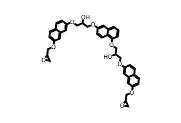 OC(COc1ccc2ccc(OCC3CO3)cc2c1)COc1ccc2c(OCC(O)COc3ccc4ccc(OCC5CO5)cc4c3)cccc2c1